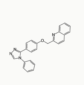 c1ccc(-n2cnnc2-c2ccc(OCc3ccc4ccccc4n3)cc2)cc1